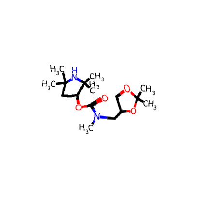 CN(CC1COC(C)(C)O1)C(=O)OC1CC(C)(C)NC1(C)C